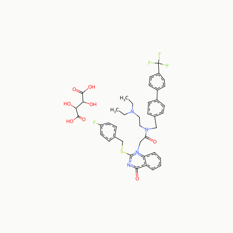 CCN(CC)CCN(Cc1ccc(-c2ccc(C(F)(F)F)cc2)cc1)C(=O)Cn1c(SCc2ccc(F)cc2)nc(=O)c2ccccc21.O=C(O)C(O)C(O)C(=O)O